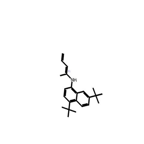 C=C/C=C(\C)Nc1ccc(C(C)(C)C)c2ccc(C(C)(C)C)cc12